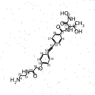 C[C@@H](O)[C@H](NC(=O)c1ccc(C#Cc2ccc(OCC(=O)NCCN)cc2)cc1)C(=O)NO